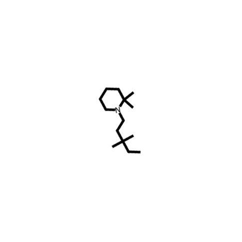 CCC(C)(C)CCN1CCCCC1(C)C